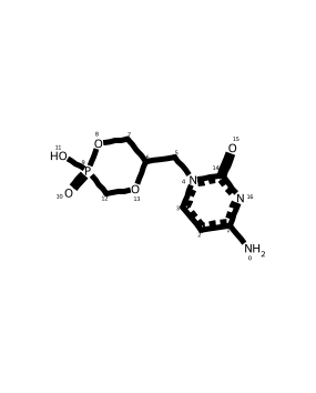 Nc1ccn(CC2COP(=O)(O)CO2)c(=O)n1